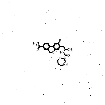 N#CC(Cc1cc2c(cc1F)-c1ccc(C(N)=O)cc1CO2)NC(=O)[C@@H]1CNCCCO1